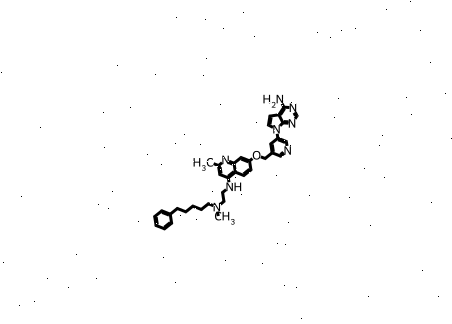 Cc1cc(NCCN(C)CCCCCc2ccccc2)c2ccc(OCc3cncc(-n4ccc5c(N)ncnc54)c3)cc2n1